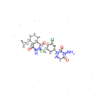 Nn1c(=O)cnn(-c2cc(Cl)c(Oc3n[nH]c(=O)c4c3CCCC4C3CC3)c(Cl)c2)c1=O